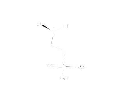 CC[C@@H](O)COP(=O)(O)OC